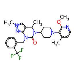 COc1nccc(C)c1N1CCC(N2C(=O)N(Cc3ccccc3C(F)(F)F)c3nn(C)cc3C2C)CC1